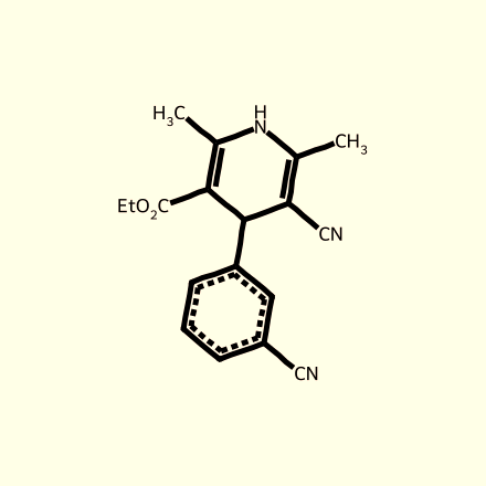 CCOC(=O)C1=C(C)NC(C)=C(C#N)C1c1cccc(C#N)c1